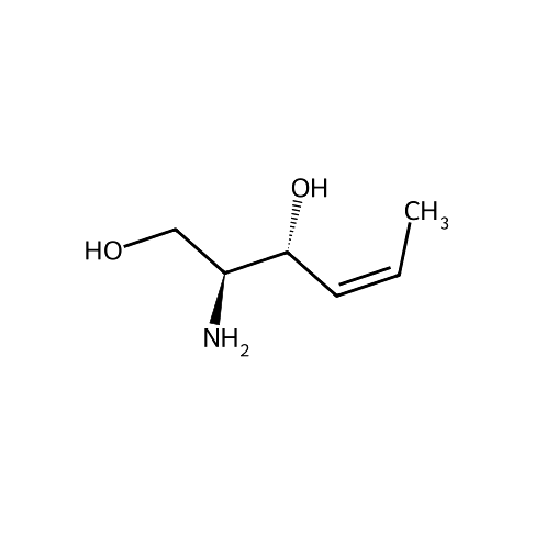 C/C=C\[C@@H](O)[C@@H](N)CO